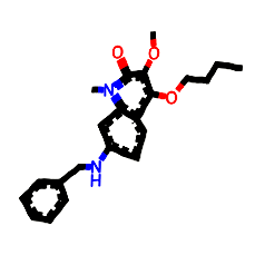 CCCCOc1c(OC)c(=O)n(C)c2cc(NCc3ccccc3)ccc12